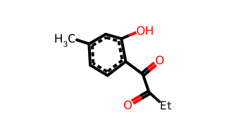 CCC(=O)C(=O)c1ccc(C)cc1O